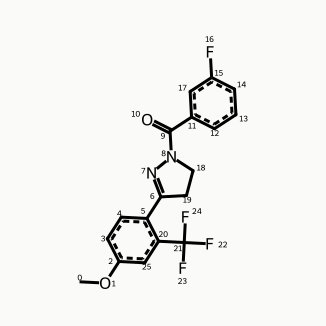 COc1ccc(C2=NN(C(=O)c3cccc(F)c3)CC2)c(C(F)(F)F)c1